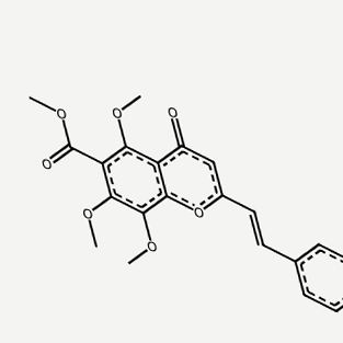 COC(=O)c1c(OC)c(OC)c2oc(C=Cc3ccccc3)cc(=O)c2c1OC